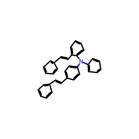 C(=Cc1ccc(N(c2ccccc2)c2ccccc2C=Cc2ccccc2)cc1)c1ccccc1